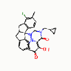 Cc1ccc2c(c1F)CC1Cc3ccccc3C21N1CN(CC2CC2)C(=O)c2c(O)c(=O)ccn21